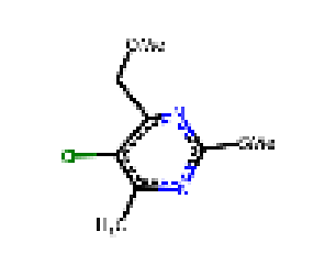 COCc1nc(SC)nc(C)c1Cl